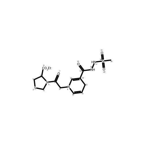 CCOC(=O)C1CSCN1C(=O)CN1C=CCC(C(=O)NNS(C)(=O)=O)=C1